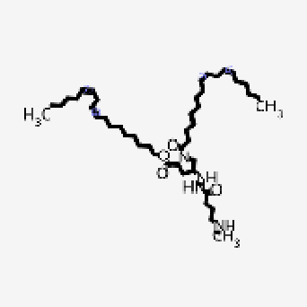 CCCCC/C=C\C/C=C\CCCCCCCCOC(=O)C1CC(NNC(=O)CCCNC)CN1C(=O)CCCCCCC/C=C\C/C=C\CCCCC